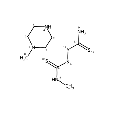 CN1CCNCC1.CNC(=S)SSC(N)=S